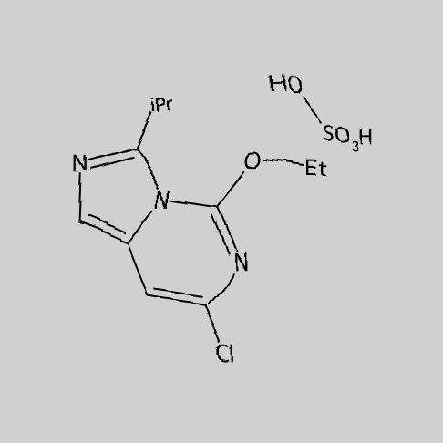 CCOc1nc(Cl)cc2cnc(C(C)C)n12.O=S(=O)(O)O